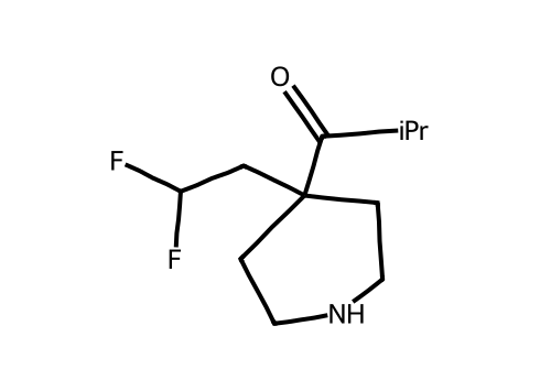 CC(C)C(=O)C1(CC(F)F)CCNCC1